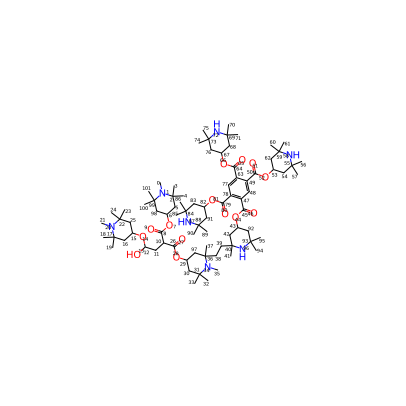 CN1C(C)(C)CC(OC(=O)C(CC(O)OC2CC(C)(C)N(C)C(C)(C)C2)C(=O)OC2CC(C)(C)N(C)C(C)(CCC3(C)CC(OC(=O)c4cc(C(=O)OC5CC(C)(C)NC(C)(C)C5)c(C(=O)OC5CC(C)(C)NC(C)(C)C5)cc4C(=O)OC4CC(C)(C)NC(C)(C)C4)CC(C)(C)N3)C2)CC1(C)C